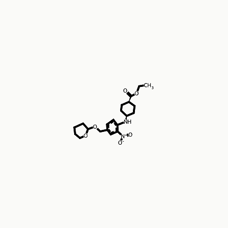 CCOC(=O)[C@H]1CC[C@@H](Nc2ccc(COC3CCCCO3)cc2[N+](=O)[O-])CC1